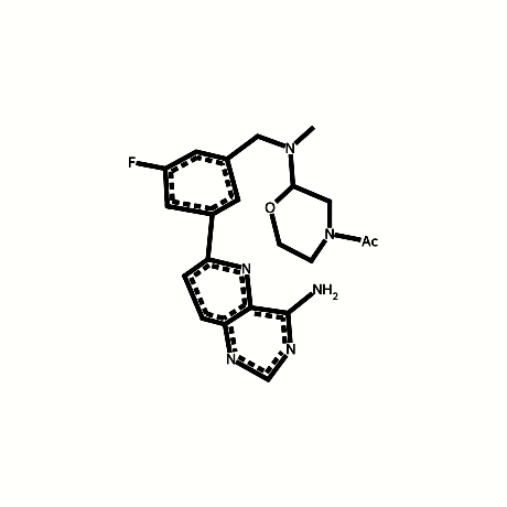 CC(=O)N1CCOC(N(C)Cc2cc(F)cc(-c3ccc4ncnc(N)c4n3)c2)C1